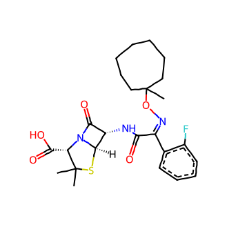 CC1(O/N=C(\C(=O)N[C@H]2C(=O)N3[C@@H]2SC(C)(C)[C@@H]3C(=O)O)c2ccccc2F)CCCCCCC1